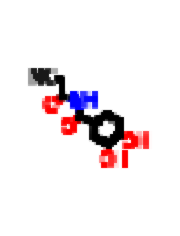 N#CCC(=O)NC(=O)c1ccc(O)c(O)c1